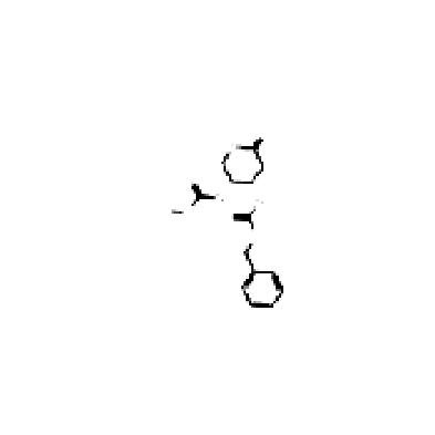 CC(C)(C)OC(=O)N[C@@H]1CNC(=O)C[C@@H]1NC(=O)OCc1ccccc1